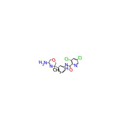 CC1(c2cccc(NC(=O)c3ncc(Cl)cc3Cl)c2)COCC(N)=N1